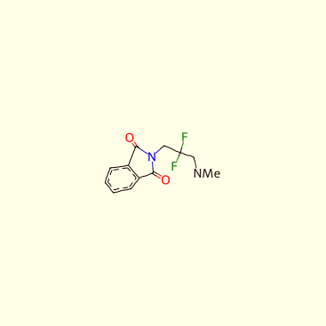 [CH2]NCC(F)(F)CN1C(=O)c2ccccc2C1=O